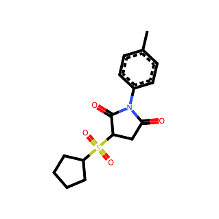 Cc1ccc(N2C(=O)CC(S(=O)(=O)C3CCCC3)C2=O)cc1